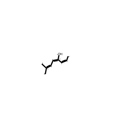 C/C=C\C(O)=C/C=C(C)C